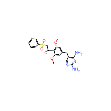 COc1cc(Cc2cnc(N)nc2N)cc(OC)c1C(=O)CS(=O)(=O)c1ccccc1